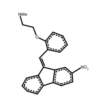 CNCCOc1ccccc1C=C1c2ccccc2-c2ccc([N+](=O)[O-])cc21